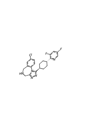 Fc1cnc([C@H]2CC[C@H](c3nnc4n3-c3ccc(Cl)cc3CNC4)CC2)c(F)c1